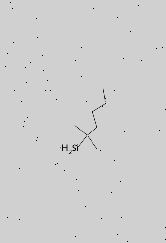 CCCCC(C)(C)[SiH2]